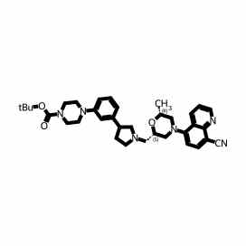 C[C@@H]1CN(c2ccc(C#N)c3ncccc23)C[C@H](CN2CCC(c3cccc(N4CCN(C(=O)OC(C)(C)C)CC4)c3)C2)O1